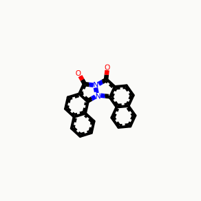 O=c1c2ccc3ccccc3c2n2c3c(ccc4ccccc43)c(=O)n12